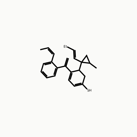 C=C(C1=CC=C(S)CC1C1(C=CCC)CC1C)c1ccccc1/C=C\C